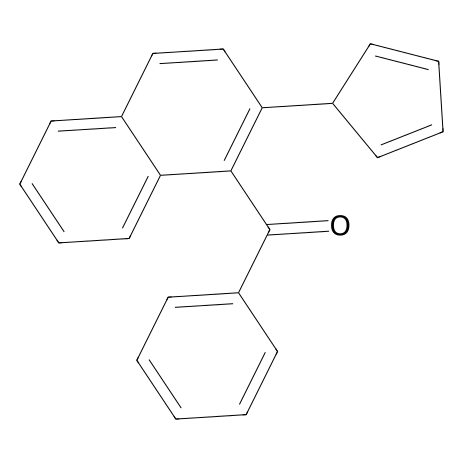 O=C(c1ccccc1)c1c(C2C=CC=C2)ccc2ccccc12